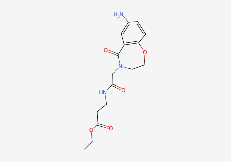 CCOC(=O)CCNC(=O)CN1CCOc2ccc(N)cc2C1=O